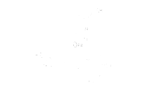 CCOC(=O)c1csc(NC(=O)c2cc(Oc3ccc(-c4nnc(C)o4)cc3)cc(OC(C)COC)c2)n1